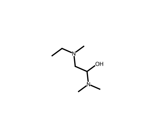 CCN(C)CC(O)N(C)C